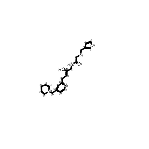 O=C(CSCc1ccoc1)NCC(O)=CCc1cc(CN2CCCCC2)ccn1